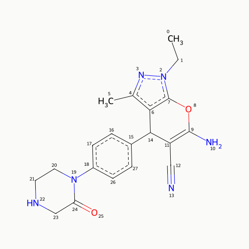 CCn1nc(C)c2c1OC(N)=C(C#N)C2c1ccc(N2CCNCC2=O)cc1